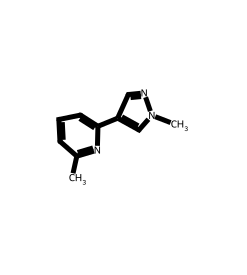 Cc1cccc(-c2cnn(C)c2)n1